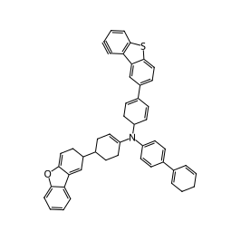 c1ccc2sc3ccc(C4=CCC(N(C5=CCC(C6C=c7c(oc8ccccc78)=CC6)CC5)c5ccc(C6=CCCC=C6)cc5)C=C4)cc3c2c#1